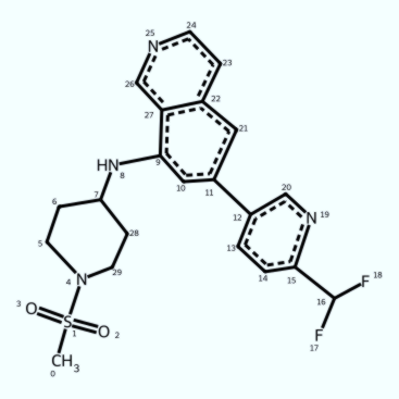 CS(=O)(=O)N1CCC(Nc2cc(-c3ccc(C(F)F)nc3)cc3ccncc23)CC1